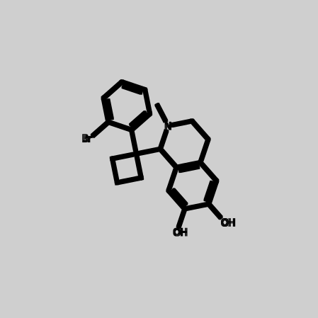 CN1CCc2cc(O)c(O)cc2C1C1(c2ccccc2Br)CCC1